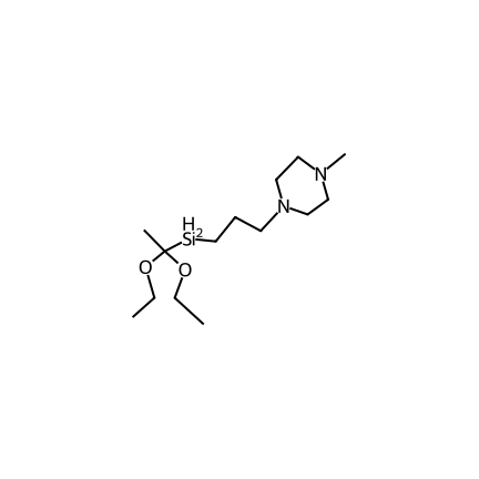 CCOC(C)(OCC)[SiH2]CCCN1CCN(C)CC1